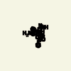 NC(=O)[C@@H]1CCCN1C(=O)[C@H](Cc1c[nH]cn1)NC(=O)[C@@H]1CCC(=O)N1C(=O)OCc1ccccc1